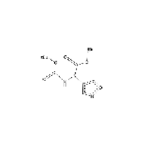 CC(C)(C)OC(=O)NN(C(=O)OC(C)(C)C)c1cnoc1